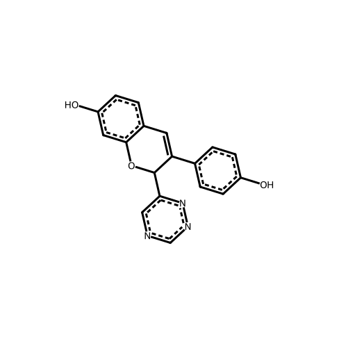 Oc1ccc(C2=Cc3ccc(O)cc3OC2c2cncnn2)cc1